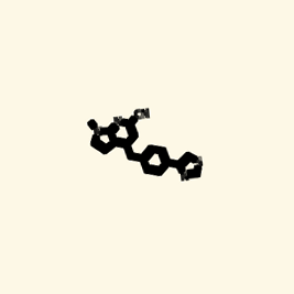 Cn1ccc2c(Cc3ccc(-c4cscn4)cc3)cc(C#N)nc21